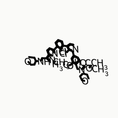 COc1cc(-c2nccc(-c3cccc(-c4ccc5c(CNC6CCOCC6)cn(C)c5n4)c3Cl)c2Cl)ccc1CN(C(=O)OC(C)(C)C)C1CCOCC1